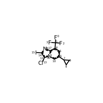 FC(F)(F)c1cc(C2CC2)cn2c(Cl)c(I)nc12